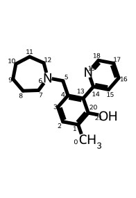 Cc1ccc(CN2CCCCCC2)c(-c2ccccn2)c1O